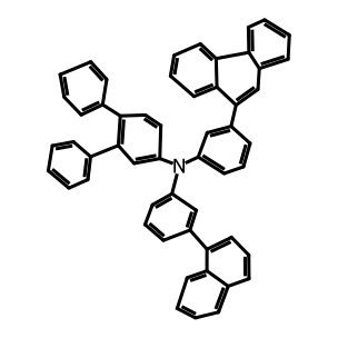 c1ccc(-c2ccc(N(c3cccc(-c4cccc5ccccc45)c3)c3cccc(-c4cc5ccccc5c5ccccc45)c3)cc2-c2ccccc2)cc1